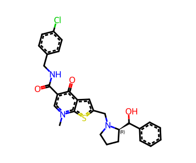 Cn1cc(C(=O)NCc2ccc(Cl)cc2)c(=O)c2cc(CN3CCC[C@@H]3C(O)c3ccccc3)sc21